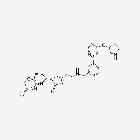 O=C1COc2ccc(N3CC(CCNCc4cccc(-c5cc(OC6CCNC6)ncn5)c4)OC3=O)nc2N1